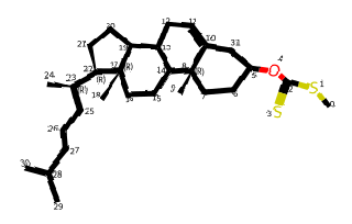 CSC(=S)OC1CC[C@@]2(C)C(=CCC3C2CC[C@@]2(C)C3CC[C@@H]2[C@H](C)CCCC(C)C)C1